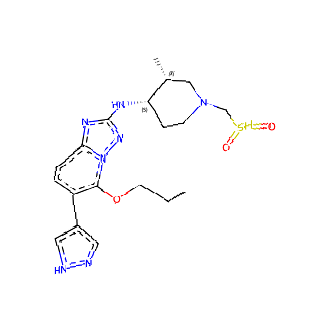 CCCOc1c(-c2cn[nH]c2)ccc2nc(N[C@H]3CCN(C[SH](=O)=O)C[C@H]3C)nn12